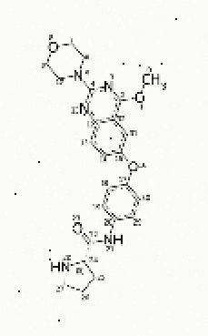 COc1nc(N2CCOCC2)nc2ccc(Oc3ccc(NC(=O)[C@@H]4CCCN4)cc3)cc12